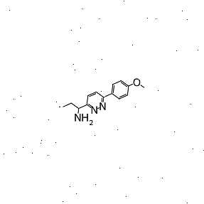 [CH2]CC(N)c1ccc(-c2ccc(OC)cc2)nn1